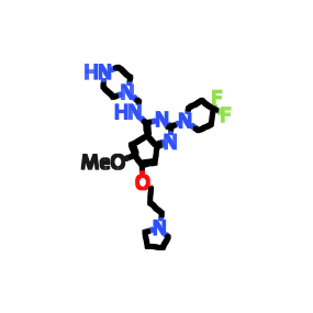 COc1cc2c(NCN3CCNCC3)nc(N3CCC(F)(F)CC3)nc2cc1OCCCN1CCCC1